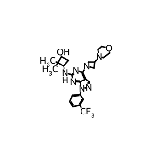 CC1(C)[C@H](O)C[C@@H]1Nc1nc(N2CC(N3CCOCC3)C2)c2cnn(-c3cccc(C(F)(F)F)c3)c2n1